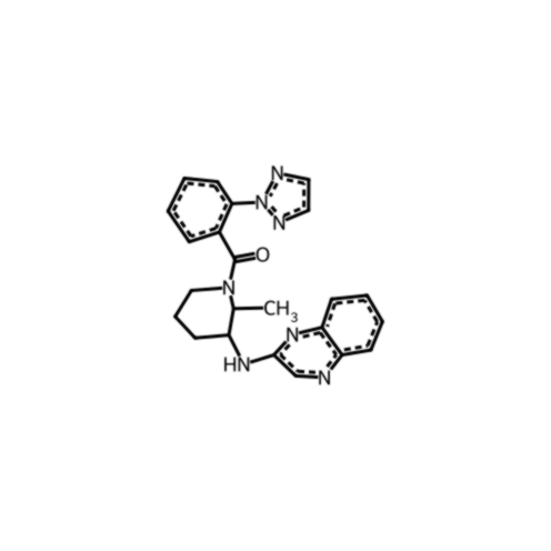 CC1C(Nc2cnc3ccccc3n2)CCCN1C(=O)c1ccccc1-n1nccn1